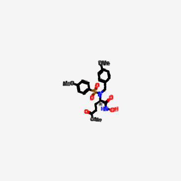 COC(=O)CC[C@H](C(=O)NO)N(Cc1ccc(OC)cc1)S(=O)(=O)c1ccc(OC)cc1